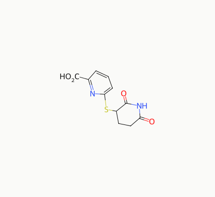 O=C1CCC(Sc2cccc(C(=O)O)n2)C(=O)N1